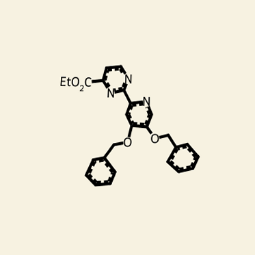 CCOC(=O)c1ccnc(-c2cc(OCc3ccccc3)c(OCc3ccccc3)cn2)n1